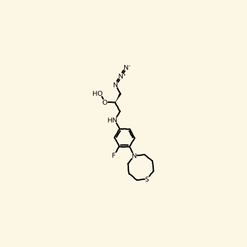 [N-]=[N+]=NC[C@@H](CNc1ccc(N2CCCSCCC2)c(F)c1)OO